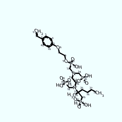 C=Cc1ccc(OCCOP(=O)(O)CN(CCN(CP(=O)(O)O)C(C)(CCCC)CP(=O)(O)O)CP(=O)(O)O)cc1